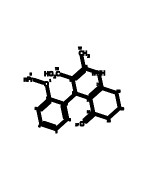 CCCOc1ccccc1C1C(C(=O)O)=C(C)NC2=C1C(=O)CCC2